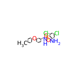 Cc1ccc(Oc2cccc(CNS(=O)(=O)c3c(N)cc(Cl)cc3Cl)c2)cc1